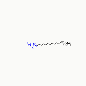 NCCCCCCCCCCCC[TeH]